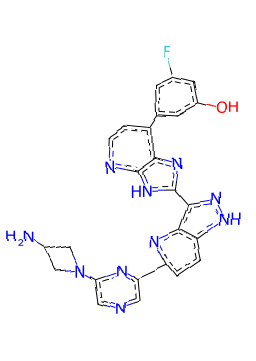 NC1CN(c2cncc(-c3ccc4[nH]nc(-c5nc6c(-c7cc(O)cc(F)c7)ccnc6[nH]5)c4n3)n2)C1